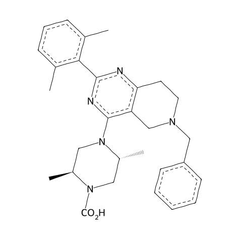 Cc1cccc(C)c1-c1nc2c(c(N3C[C@H](C)N(C(=O)O)C[C@H]3C)n1)CN(Cc1ccccc1)CC2